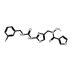 CN(Cc1csc(NC(=O)NCc2cccc(F)c2)n1)C(=O)c1ccoc1